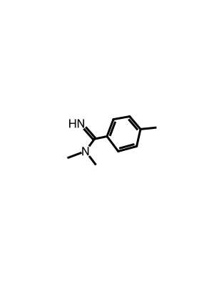 Cc1ccc(C(=N)N(C)C)cc1